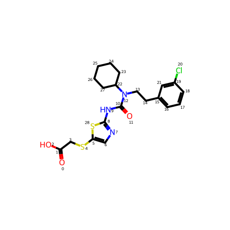 O=C(O)CSc1cnc(NC(=O)N(CCc2cccc(Cl)c2)C2CCCCC2)s1